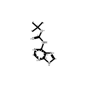 CC(C)(C)OC(=O)Nc1ncnc2c1N=C[N]2